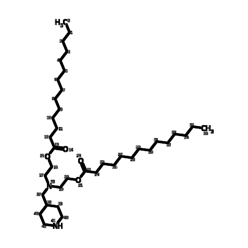 CCCCCCCCCCCCCC(=O)OCCN(CCOC(=O)CCCCCCCCCCCCC)CC1CCNCC1